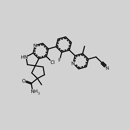 Cc1c(CC#N)ccnc1-c1cccc(-c2cnc3c(c2Cl)C2(CCC(C)(C(N)=O)C2)CN3)c1F